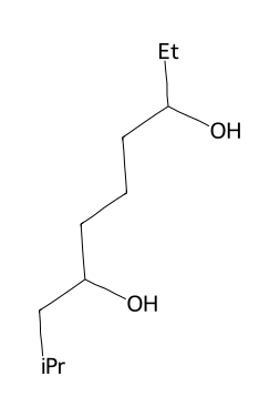 CCC(O)CCCC(O)CC(C)C